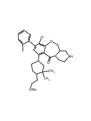 COCCN1CCN(c2nc(-c3ccccc3F)c(Cl)c3c2C(=O)N2CCNCC2CO3)CC1(C)C